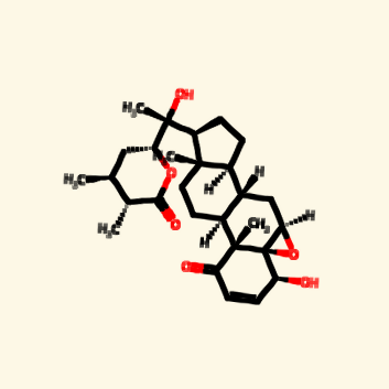 C[C@H]1C[C@H]([C@](C)(O)[C@H]2CC[C@H]3[C@@H]4C[C@H]5O[C@]56[C@@H](O)C=CC(=O)[C@]6(C)[C@H]4CC[C@]23C)OC(=O)[C@@H]1C